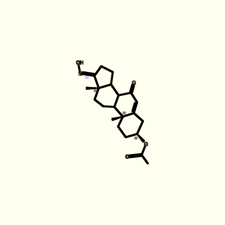 CC(=O)O[C@H]1CC[C@@]2(C)C(=CC(=O)C3C2CC[C@]2(C)/C(=N/O)CCC32)C1